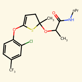 CCCNC(=O)C(C)OC1(C)CC=C(Oc2ccc(C(F)(F)F)cc2Cl)S1